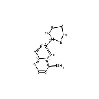 Nc1ccnc2ccc(N3CCCCC3)cc12